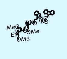 CCN(CCOC)C(=O)CN(CCOC)C(=O)CN(CCOC)C(=O)CNC(=O)CCn1c(CN(C)N(C)C(=O)OCC2c3ccccc3-c3ccccc32)cc2ccccc21